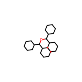 C1CCC(C(OC(C2CCCCC2)C2CCCCC2)C2CCCCC2)CC1